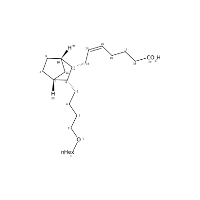 CCCCCCOCCCC[C@@H]1[C@@H]2CC[C@@H](C2)[C@@H]1C/C=C\CCCC(=O)O